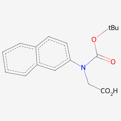 CC(C)(C)OC(=O)N(CC(=O)O)c1ccc2ccccc2c1